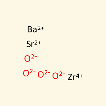 [Ba+2].[O-2].[O-2].[O-2].[O-2].[Sr+2].[Zr+4]